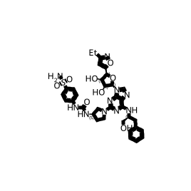 CCc1cc([C@H]2O[C@@H](n3cnc4c(N[C@H](CO)Cc5ccccc5)nc(N5CC[C@H](NC(=O)Nc6ccc(S(N)(=O)=O)cc6)C5)nc43)[C@H](O)[C@@H]2O)on1